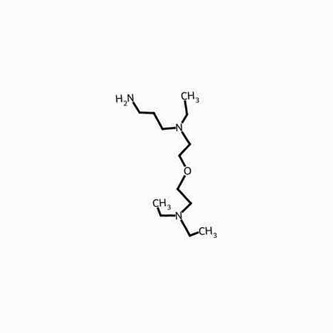 CCN(CC)CCOCCN(CC)CCCN